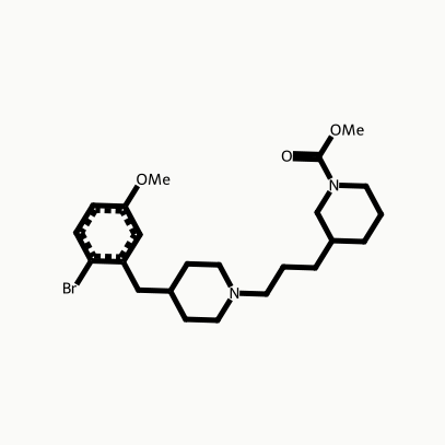 COC(=O)N1CCCC(CCCN2CCC(Cc3cc(OC)ccc3Br)CC2)C1